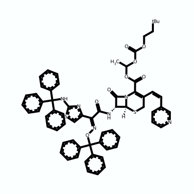 CC(OC(=O)OCCC(C)(C)C)OC(=O)C1=C(/C=C\c2cccnc2)CS[C@H]2[C@H](NC(=O)C(=NOC(c3ccccc3)(c3ccccc3)c3ccccc3)c3csc(NC(c4ccccc4)(c4ccccc4)c4ccccc4)n3)C(=O)N12